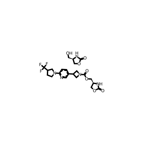 O=C1N[C@H](CO)CO1.O=C1N[C@H](COC(=O)N2CC(c3ccc(N4CCC(C(F)(F)F)C4)nc3)C2)CO1